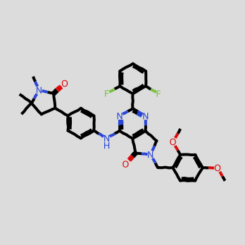 COc1ccc(CN2Cc3nc(-c4c(F)cccc4F)nc(Nc4ccc(C5CC(C)(C)N(C)C5=O)cc4)c3C2=O)c(OC)c1